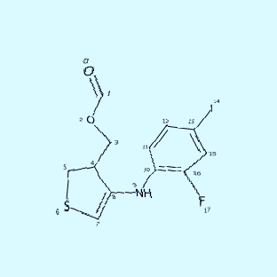 O=COCC1CSC=C1Nc1ccc(I)cc1F